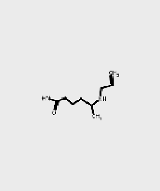 C=CCNC(C)CCCC([NH])=O